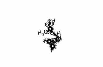 COc1cc(C(=O)C(=O)O)ccc1OCCCC1CC(CC(O)(c2ccc(F)cc2)c2ccc(F)cc2)CCN1